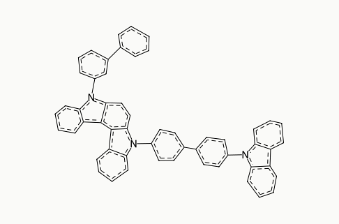 c1ccc(-c2cccc(-n3c4ccccc4c4c5c6ccccc6n(-c6ccc(-c7ccc(-n8c9ccccc9c9ccccc98)cc7)cc6)c5ccc43)c2)cc1